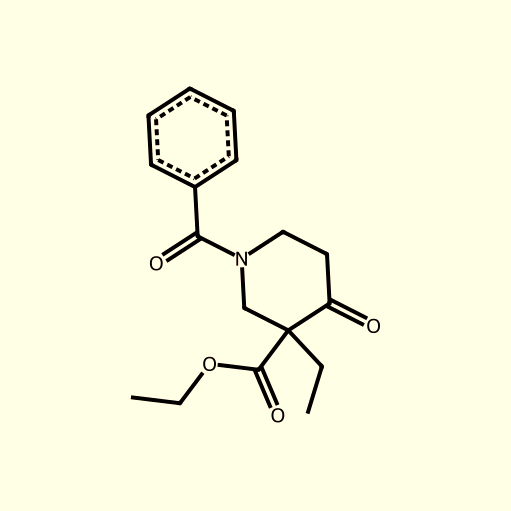 CCOC(=O)C1(CC)CN(C(=O)c2ccccc2)CCC1=O